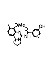 COc1c(C)ccc2c1N=C(NC(=O)c1cncc(O)c1)N1CCN=C21